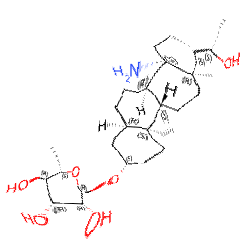 C[C@H](O)[C@H]1CC[C@]2(N)[C@@H]3CC[C@@H]4C[C@@H](O[C@@H]5O[C@@H](C)[C@H](O)[C@@H](O)[C@H]5O)CC[C@]4(C)[C@H]3CC[C@]12C